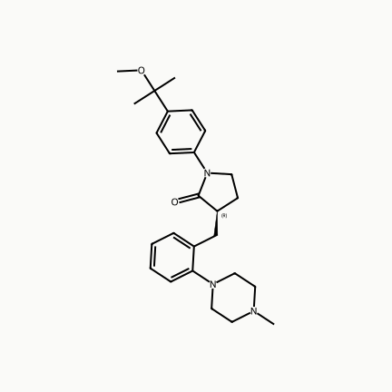 COC(C)(C)c1ccc(N2CC[C@@H](Cc3ccccc3N3CCN(C)CC3)C2=O)cc1